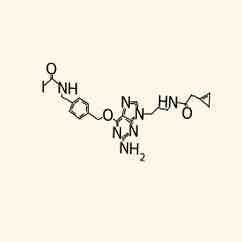 Nc1nc(OCc2ccc(CNC(=O)I)cc2)c2ncn(CCCNC(=O)CC3=CC3)c2n1